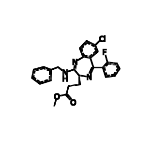 COC(=O)CC[C@@H]1N=C(c2ccccc2F)c2cc(Cl)ccc2N=C1NCc1ccccc1